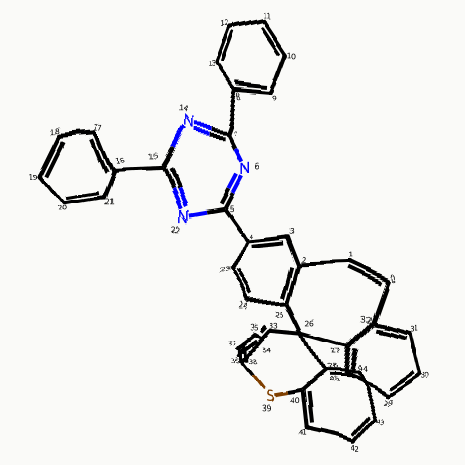 C1=Cc2cc(-c3nc(-c4ccccc4)nc(-c4ccccc4)n3)ccc2C2(c3ccccc31)c1ccccc1Sc1ccccc12